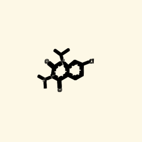 CC(C)n1c(=O)n(N(C)C)c(=O)c2ccc(Cl)cc21